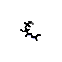 CC/C(C)=C\C=C(/C)C(C)(CC)CC(C)(C)N